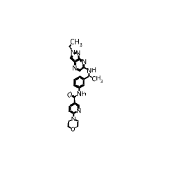 CCn1cc2ncc(N[C@@H](C)c3cccc(NC(=O)c4ccc(N5CCOCC5)nc4)c3)nc2n1